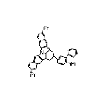 CC(C)c1ccc2cc3c(cc2c1)C1CC(c2ccc(C(C)C)c(-c4cc#ccc4)c2)CC2(C)c4cc5cc(C(C)C)ccc5cc4N3C12